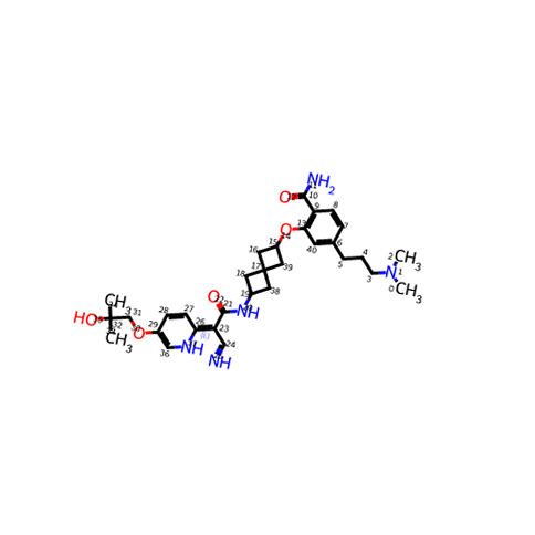 CN(C)CCCc1ccc(C(N)=O)c(OC2CC3(CC(NC(=O)/C(C=N)=C4\C=CC(OCC(C)(C)O)=CN4)C3)C2)c1